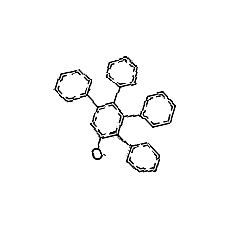 [O]c1cc(-c2ccccc2)c(-c2ccccc2)c(-c2ccccc2)c1-c1ccccc1